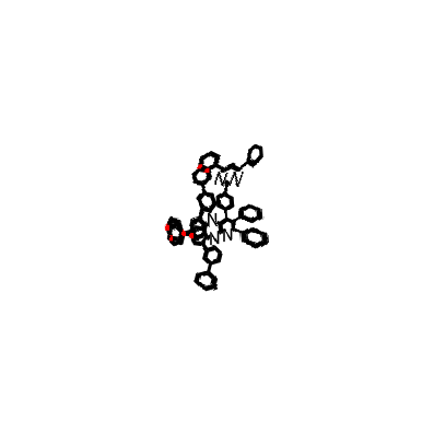 c1ccc(-c2ccc3c(c2)c2cc(-c4ccccc4)ccc2n3-c2nc(-c3ccccc3)c(-c3ccccc3)c(-c3ccc(-c4nc(-c5ccccc5)cc(-c5ccccc5)n4)cc3)c2-n2c3ccc(-c4ccccc4)cc3c3cc(-c4ccccc4)ccc32)cc1